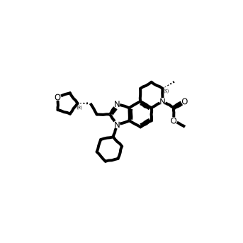 COC(=O)N1c2ccc3c(nc(CC[C@@H]4CCOC4)n3C3CCCCC3)c2CC[C@@H]1C